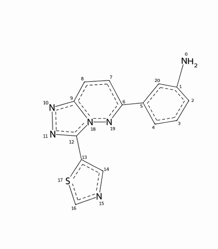 Nc1cccc(-c2ccc3nnc(-c4cncs4)n3n2)c1